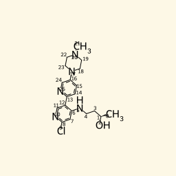 C[C@@H](O)CCNc1cc(Cl)ncc1-c1ccc(N2CCN(C)CC2)cn1